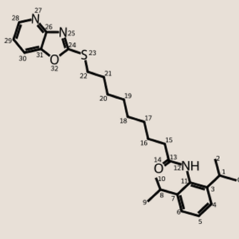 CC(C)c1cccc(C(C)C)c1NC(=O)CCCCCCCCSc1nc2ncccc2o1